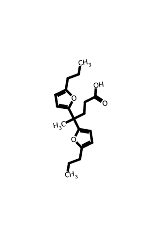 CCCc1ccc(C(C)(CCC(=O)O)c2ccc(CCC)o2)o1